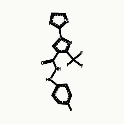 Cc1ccc(NNC(=O)c2cn(-c3nccs3)nc2C(F)(F)F)cc1